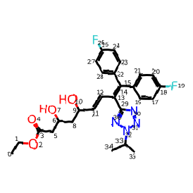 CCOC(=O)CC(O)CC(O)C=CC(=C(c1ccc(F)cc1)c1ccc(F)cc1)c1nnn(C(C)C)n1